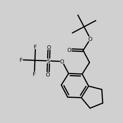 CC(C)(C)OC(=O)Cc1c(OS(=O)(=O)C(F)(F)F)ccc2c1CCC2